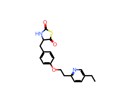 CCc1ccc(CCOc2ccc(CC3NC(=O)SC3=O)cc2)nc1